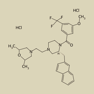 COc1cc(C(=O)N2CCN(CCN3CC(C)OC(C)C3)C[C@H]2Cc2ccc3ccccc3c2)cc(C(F)(F)F)c1.Cl.Cl